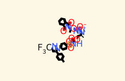 Cc1ccc(-c2cc(C(F)(F)F)nn2-c2ccc(S(=O)(=O)NC(=O)OC[C@H](C)N(C)[N+]([O-])=NOC(C)N3C(=O)c4ccccc4C3=O)cc2)cc1